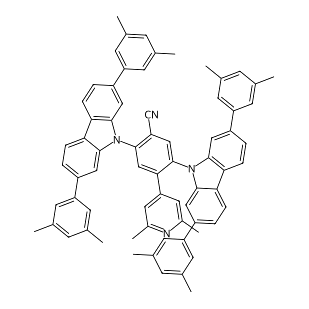 Cc1cc(C)cc(-c2ccc3c4ccc(-c5cc(C)cc(C)c5)cc4n(-c4cc(-c5cc(C)nc(C)c5)c(-n5c6cc(-c7cc(C)cc(C)c7)ccc6c6ccc(-c7cc(C)cc(C)c7)cc65)cc4C#N)c3c2)c1